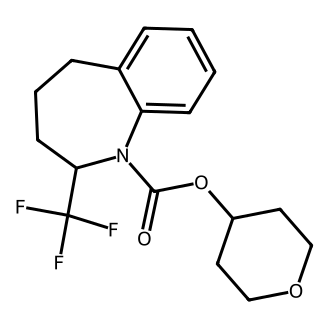 O=C(OC1CCOCC1)N1c2ccccc2CCCC1C(F)(F)F